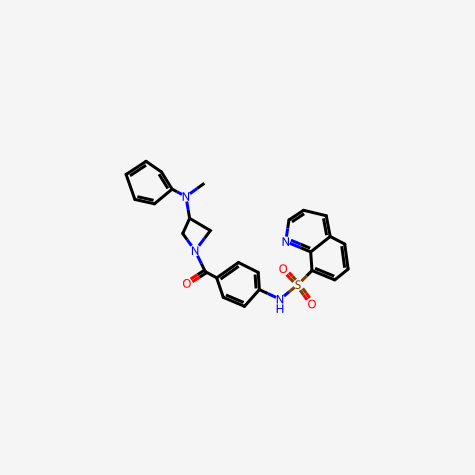 CN(c1ccccc1)C1CN(C(=O)c2ccc(NS(=O)(=O)c3cccc4cccnc34)cc2)C1